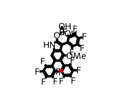 COc1c(-c2c(F)c(F)c(F)c(F)c2F)c(-c2c(F)c(F)c(F)c(F)c2F)cc2[nH]c(OB(O)O)c(-c3c(F)c(F)c(F)c(F)c3F)c12